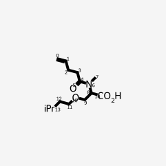 C=CCCC(=O)N(C)C(COCCC(C)C)C(=O)O